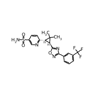 CC1(C)[C@@H](c2ccc(S(N)(=O)=O)cn2)[C@@H]1c1nc(-c2cccc(C(F)(F)F)c2)no1